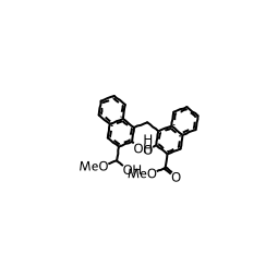 COC(=O)c1cc2ccccc2c(Cc2c(O)c(C(O)OC)cc3ccccc23)c1O